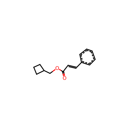 O=C(C=Cc1ccccc1)OCC1CCC1